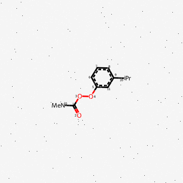 CNC(=O)OOc1cccc(C(C)C)c1